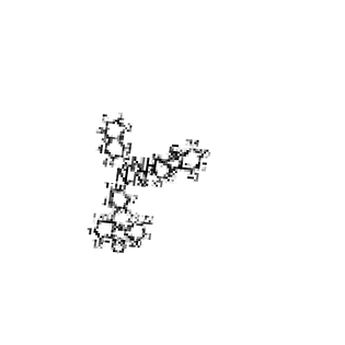 c1ccc2cc(C3=NC(c4ccc(-c5cccc6oc7ccccc7c56)cc4)=NC(c4ccc5c(c4)sc4ccccc45)N3)ccc2c1